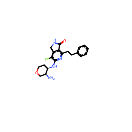 N[C@H]1COCC[C@H]1Nc1nc(CCc2ccccc2)c2c(c1F)CNC2=O